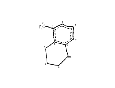 FC(F)(F)c1cccc2c1CCC[CH]2